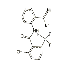 N=C(Br)c1ncccc1NC(=O)c1c(Cl)cccc1C(F)(F)F